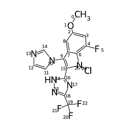 COc1cc(F)c2c(c1)c(-n1ccnc1)c(-c1nc(C(F)(F)F)n[nH]1)n2Cl